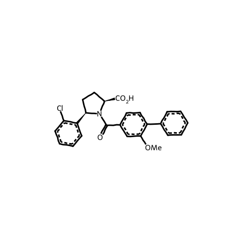 COc1cc(C(=O)N2[C@@H](c3ccccc3Cl)CC[C@H]2C(=O)O)ccc1-c1ccccc1